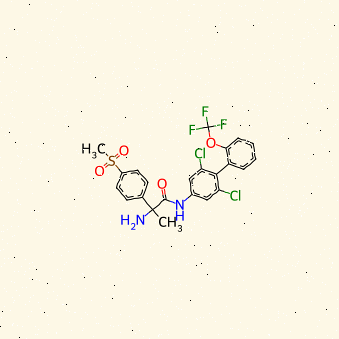 CC(N)(C(=O)Nc1cc(Cl)c(-c2ccccc2OC(F)(F)F)c(Cl)c1)c1ccc(S(C)(=O)=O)cc1